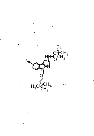 CC(C)(C)OC(=O)Nc1cnc2c(c1)c1cc(C#N)ncc1n2COCC[Si](C)(C)C